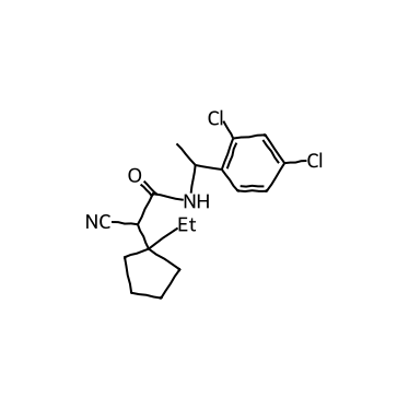 CCC1(C(C#N)C(=O)NC(C)c2ccc(Cl)cc2Cl)CCCC1